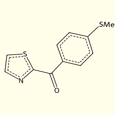 CSc1ccc(C(=O)c2nccs2)cc1